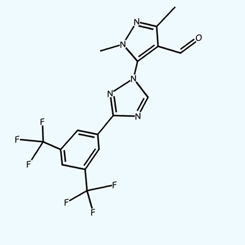 Cc1nn(C)c(-n2cnc(-c3cc(C(F)(F)F)cc(C(F)(F)F)c3)n2)c1C=O